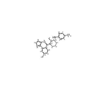 C[C@H]1[C@H](Nc2ncc(C(F)(F)F)cn2)CCCN1C(=O)c1ccc(F)cc1-c1ncco1